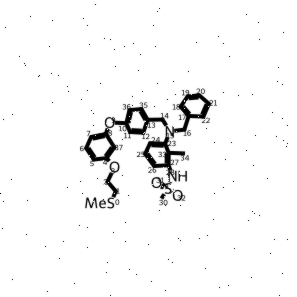 CSCCOc1cccc(Oc2ccc(CN(Cc3ccccc3)c3cccc(NS(C)(=O)=O)c3C)cc2)c1